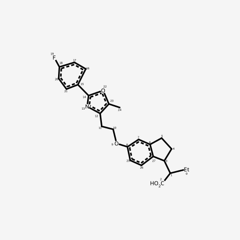 CCC(C(=O)O)C1CCc2cc(OCCc3nc(-c4ccc(F)cc4)oc3C)ccc21